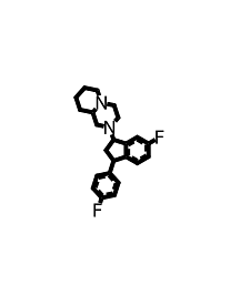 Fc1ccc(C2CC(N3CCN4CCCCC4C3)c3cc(F)ccc32)cc1